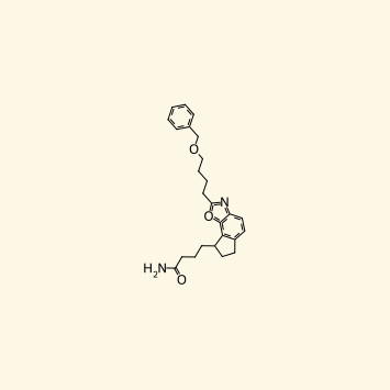 NC(=O)CCCC1CCc2ccc3nc(CCCCOCc4ccccc4)oc3c21